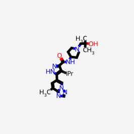 Cc1cc(-c2[nH]nc(C(=O)NC3CCN(CC(C)(C)O)CC3)c2C(C)C)cn2ncnc12